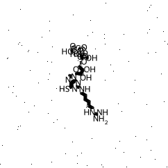 N=C(N)NCCCCCCNc1nc(S)c2ncn([C@@H]3O[C@H](COP(=O)(O)OP(=O)(O)OP(=O)(O)O)C(O)[C@@H]3O)c2n1